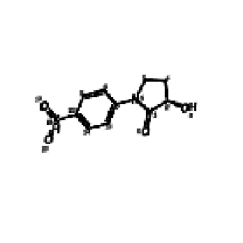 O=C1[C@H](O)CCN1c1ccc([SH](=O)=O)cc1